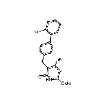 CCCc1nc(OC)[nH]c(=O)c1Cc1ccc(-c2ccccc2C#N)cc1